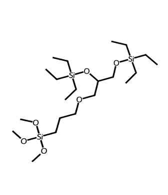 CC[Si](CC)(CC)OCC(COCCC[Si](OC)(OC)OC)O[Si](CC)(CC)CC